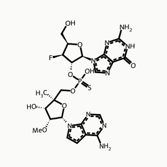 CO[C@H]1[C@@H](n2ccc3c(N)ncnc32)O[C@](C)(COP(O)(=S)O[C@@H]2[C@@H](F)[C@@H](CO)O[C@H]2n2cnc3c(=O)[nH]c(N)nc32)[C@H]1O